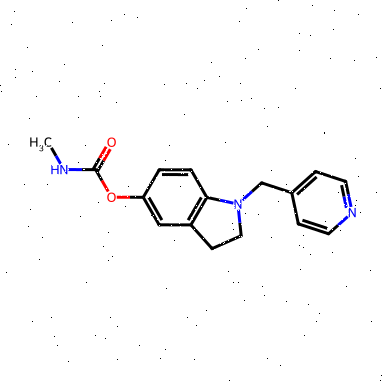 CNC(=O)Oc1ccc2c(c1)CCN2Cc1ccncc1